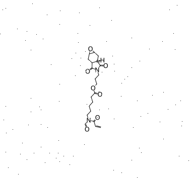 C=CC(=O)N(C=O)CCCCCC(=O)OCCCN1C(=O)C2CC3OC3C[C@@H]2C1=O